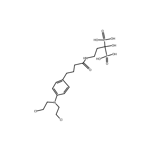 O=C(CCCc1ccc(N(CCCl)CCCl)cc1)NCCC(O)(P(=O)(O)O)P(=O)(O)O